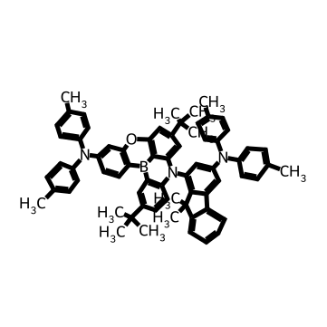 Cc1ccc(N(c2ccc(C)cc2)c2ccc3c(c2)Oc2cc(C(C)(C)C)cc4c2B3c2cc(C(C)(C)C)ccc2N4c2cc(N(c3ccc(C)cc3)c3ccc(C)cc3)cc3c2C(C)(C)c2ccccc2-3)cc1